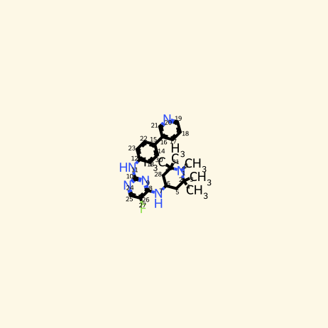 CN1C(C)(C)CC(Nc2nc(Nc3ccc(-c4cccnc4)cc3)ncc2F)CC1(C)C